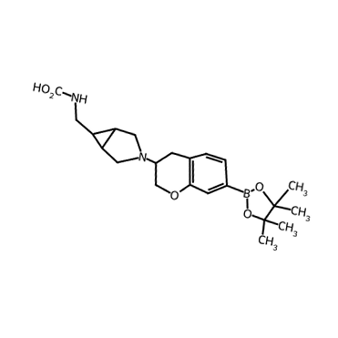 CC1(C)OB(c2ccc3c(c2)OCC(N2CC4C(CNC(=O)O)C4C2)C3)OC1(C)C